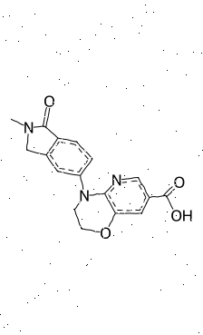 CN1Cc2cc(N3CCOc4cc(C(=O)O)cnc43)ccc2C1=O